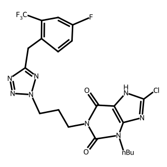 CCCCn1c(=O)n(CCCn2nnc(Cc3ccc(F)cc3C(F)(F)F)n2)c(=O)c2[nH]c(Cl)nc21